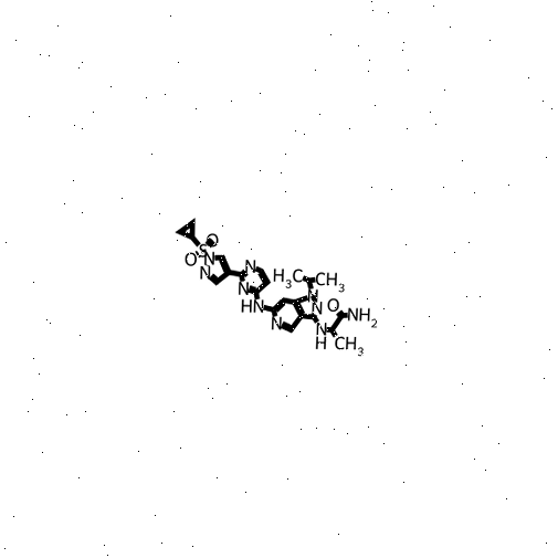 CC(Nc1nn(C(C)C)c2cc(Nc3ccnc(-c4cnn(S(=O)(=O)C5CC5)c4)n3)ncc12)C(N)=O